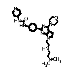 CN(C)CCNCCn1ccc2c(N3CCOCC3)nc(-c3ccc(NC(=O)Nc4ccncc4)cc3)nc21